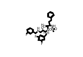 CS(=O)(=O)NC(CCc1ccccc1)C(=O)N[C@@H](Cc1cc(F)cc(F)c1)[C@@H](O)CNCc1cccc(I)c1